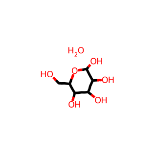 O.OCC1OC(O)C(O)C(O)C1O